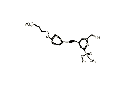 CCOP(C)(=O)c1cc(C#Cc2ccc(OCCCS(=O)(=O)O)cc2)cc(CO)n1